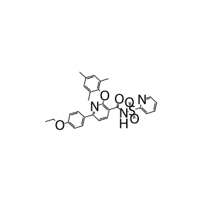 CCOc1ccc(-c2ccc(C(=O)NS(=O)(=O)c3ccccn3)c(Oc3c(C)cc(C)cc3C)n2)cc1